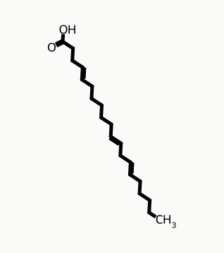 CCCCCC=CCC=CCCCCCC=CCCC(=O)O